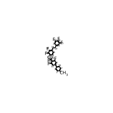 Cc1ccc(-c2cc(F)c(C(F)(F)Oc3ccc(CCc4cc(F)c(F)c(F)c4)c(F)c3F)c(F)c2)cc1